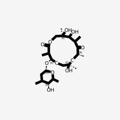 CC1C(=O)[C@H](C)C[C@@](C)(O)CC[C@H](O[C@H]2CC(C)[C@@H](O)C(C)O2)C(C)C(=O)OC[C@@](C)(O)C1O